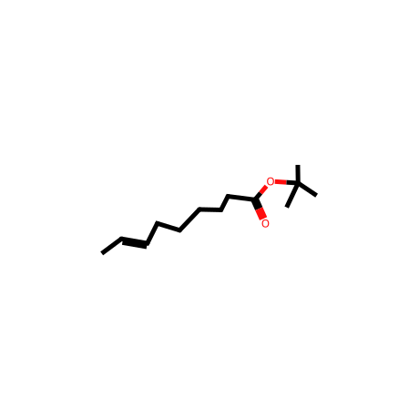 CC=CCCCCCC(=O)OC(C)(C)C